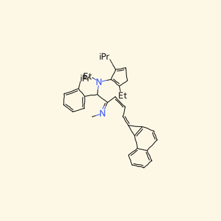 CCC1=C(N(CC)C(C(/C=C\C=C2/c3ccc4ccccc4c32)=N\C)c2ccccc2C(C)C)C(C(C)C)=CC1